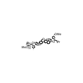 CC[C@@H](C)[C@H](NC(=O)OC)C(=O)N1C[C@@H](C)C[C@H]1c1ncc(-c2ccc3c(c2)COc2cc4c(ccc5nc([C@@H]6C[C@H](COC)CN6C(=O)[CH]C(C)C)[nH]c54)cc2-3)[nH]1